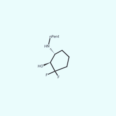 CCCCCN[C@@H]1CCCC(F)(F)[C@H]1O